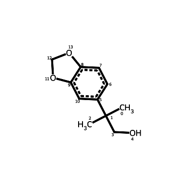 CC(C)(CO)c1ccc2c(c1)OCO2